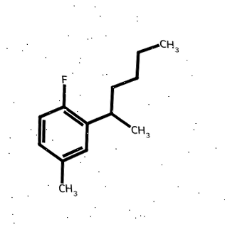 CCCCC(C)c1cc(C)ccc1F